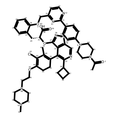 CC(=O)N1CCN(c2ccc(-c3nccc(COc4ccccc4C[C@@H](Oc4nsc5cnc(C6CCC6)c(C6=C(C)C(Cl)=C(OCCN7CCN(C)CC7)CC6)c45)C(=O)O)n3)cc2)CC1